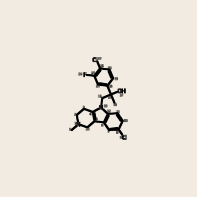 CN1CCc2c(c3cc(Cl)ccc3n2CC(C)(O)c2ccc(Cl)c(F)c2)C1